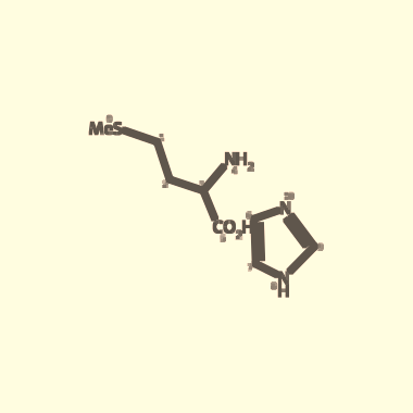 CSCCC(N)C(=O)O.c1c[nH]cn1